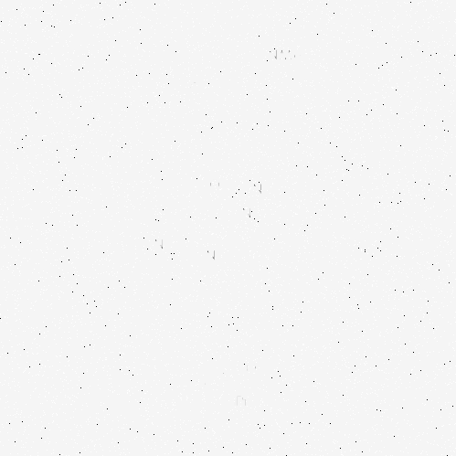 CNCc1ccc(-c2nnc(-c3cncc(-c4ccc(S(=O)(=O)C(C)C)cc4)n3)o2)cc1Cl